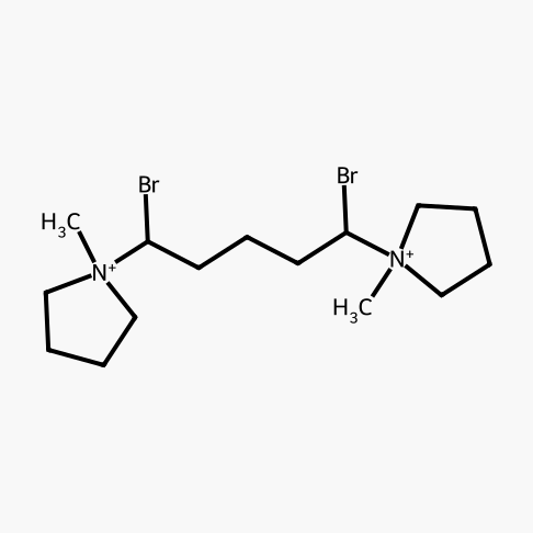 C[N+]1(C(Br)CCCC(Br)[N+]2(C)CCCC2)CCCC1